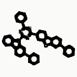 c1ccc(-c2ccc3c(c2)oc2cc(-c4nc(-c5ccccc5)nc(-n5c6ccccc6c6ccc(-c7ccccc7)cc65)n4)ccc23)cc1